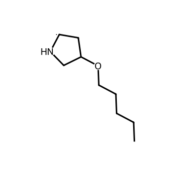 CCCCCOC1C[CH]NC1